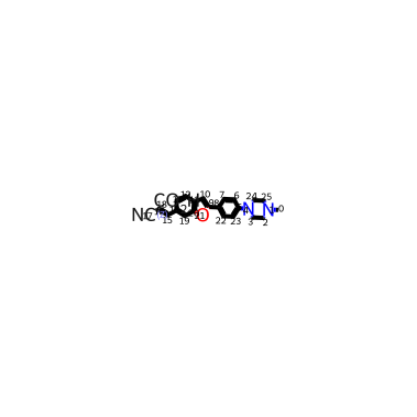 CN1CCN(c2ccc(-c3cc4ccc(/C=C(/C#N)C(=O)O)cc4o3)cc2)CC1